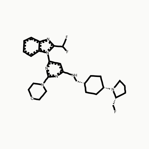 FC[C@H]1CCCN1[C@H]1CC[C@@H](CNc2cc(-n3c(C(F)F)nc4ccccc43)nc(N3CCOCC3)n2)CC1